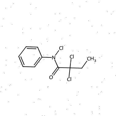 CCC(Cl)(Cl)C(=O)N(Cl)c1ccccc1